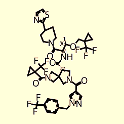 C[C@@H](OCC1(C(F)(F)F)CC1)[C@H](NC(=O)[C@@H]1CN(C(=O)c2cnn(Cc3ccc(C(F)(F)F)cc3)c2)CC12CN(C(=O)C1(C(F)(F)F)CC1)C2)C(=O)N1CCC(c2nccs2)CC1